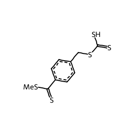 CSC(=S)c1ccc(CSC(=S)S)cc1